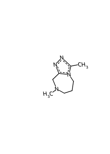 Cc1nnc2n1CCCN(C)C2